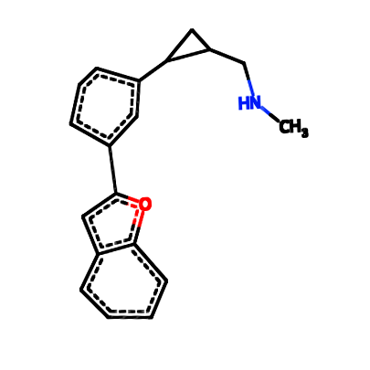 CNCC1CC1c1cccc(-c2cc3ccccc3o2)c1